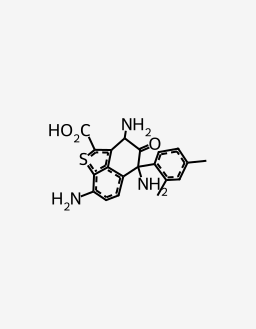 Cc1ccc(C2(N)C(=O)C(N)c3c(C(=O)O)sc4c(N)ccc2c34)c(C)c1